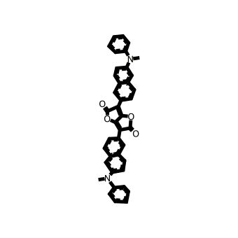 CN(c1ccccc1)c1ccc2cc(C3=C4OC(=O)C(c5ccc6cc(N(C)c7ccccc7)ccc6c5)=C4OC3=O)ccc2c1